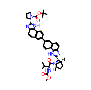 COC(=O)NC(C(=O)N1[C@H]2CC[C@H](C2)[C@H]1c1nc2ccc3cc(-c4ccc5c(ccc6nc([C@@H]7CCCN7C(=O)OC(C)(C)C)[nH]c65)c4)ccc3c2[nH]1)C(C)C